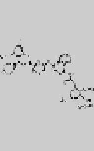 [CH]c1cc(CN(CCN2CCOCC2)c2nccc(Oc3ccc(NC(=O)Nc4cc(C(C)(C)C)cc(NS(C)(=O)=O)c4OC)c4ccccc34)n2)cc(OC)c1